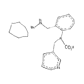 C1CCCCC1.CC(C)NCc1ccccc1N(Cc1cccnc1)C(=O)O